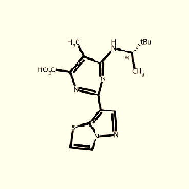 Cc1c(N[C@@H](C)C(C)(C)C)nc(-c2cnn3ccsc23)nc1C(=O)O